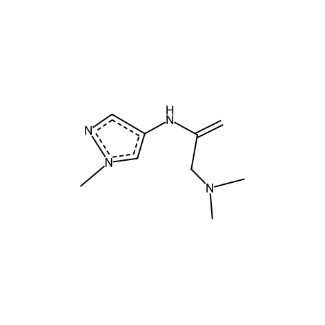 C=C(CN(C)C)Nc1cnn(C)c1